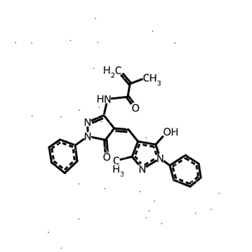 C=C(C)C(=O)NC1=NN(c2ccccc2)C(=O)C1=Cc1c(C)nn(-c2ccccc2)c1O